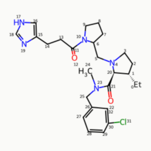 CC[C@H]1CCN(CC2CCCN2C(=O)CCc2c[nH]cn2)[C@@H]1C(=O)N(C)Cc1cccc(Cl)c1